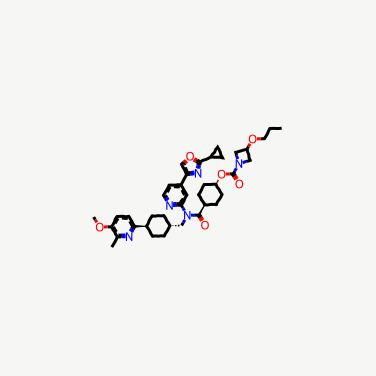 CCCOC1CN(C(=O)O[C@H]2CC[C@H](C(=O)N(C[C@H]3CC[C@H](c4ccc(OC)c(C)n4)CC3)c3cc(-c4coc(C5CC5)n4)ccn3)CC2)C1